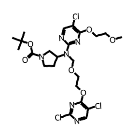 COCCOc1nc(N(COCCOc2nc(Cl)ncc2Cl)C2CCN(C(=O)OC(C)(C)C)C2)ncc1Cl